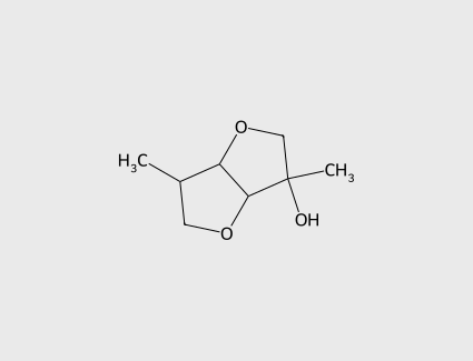 CC1COC2C1OCC2(C)O